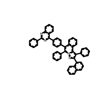 c1ccc(-c2nc(-c3ccc(-c4c(-c5ccccc5)n5nc(-c6cccc7ccccc67)c(-c6ccccc6)c5c5ccccc45)cc3)c3ccccc3n2)cc1